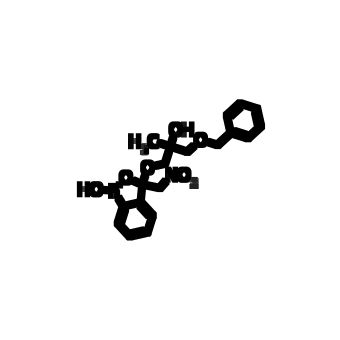 CC(O)(COCc1ccccc1)COC1(C[N+](=O)[O-])OB(O)c2ccccc21